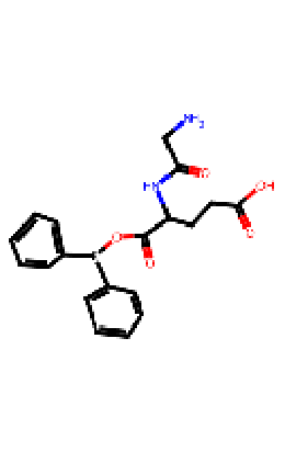 NCC(=O)NC(CCC(=O)O)C(=O)OB(c1ccccc1)c1ccccc1